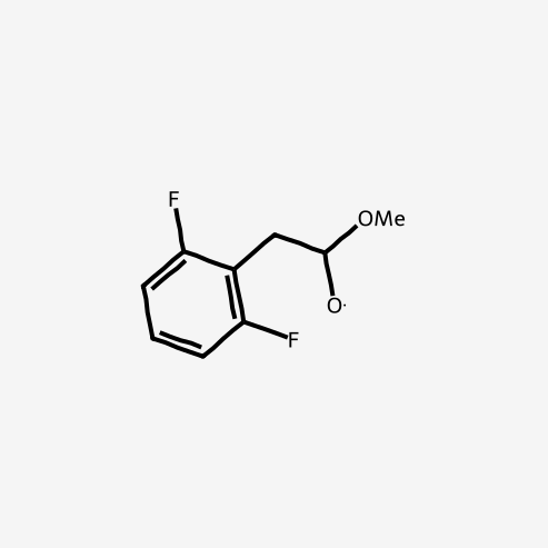 COC([O])Cc1c(F)cccc1F